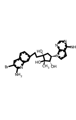 C[C@]1(O)[C@@H](O)[C@H](n2ccc3c(N)ncnc32)C[C@]1(O)CCc1ccc2cc(Br)c(N)nc2c1